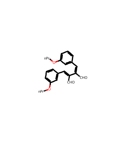 CCCOc1cccc(C=C(C=O)C(C=O)=Cc2cccc(OCCC)c2)c1